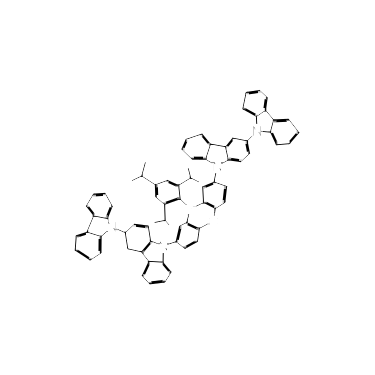 CC(C)c1cc(C(C)C)c(B2c3cc(-n4c5c(c6ccccc64)CC(n4c6ccccc6c6ccccc64)C=C5)ccc3Oc3ccc(-n4c5ccccc5c5cc(-n6c7ccccc7c7ccccc76)ccc54)cc32)c(C(C)C)c1